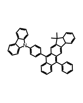 CC1(C)c2cc3c(-c4ccc(-n5c6ccccc6c6ccccc65)cc4)c4ccccc4c(-c4ccccc4)c3cc2C2C=CC=CC21